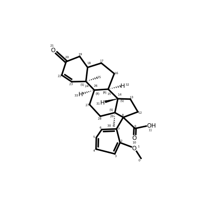 COc1ccccc1C1(C(=O)O)CC[C@H]2[C@@H]3CCC4CC(=O)C=C[C@]4(C)[C@@H]3CC[C@@]21C